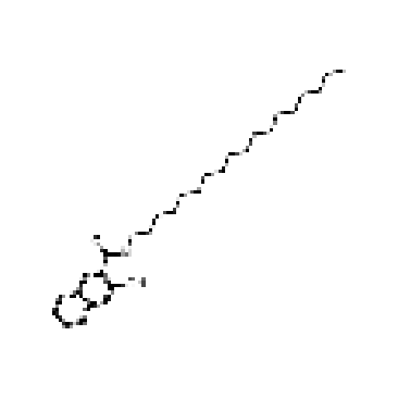 CCCCCCCCCCCCCCCCCCNC(=O)c1cc2ccccc2cc1O